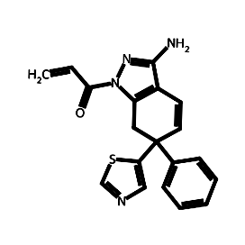 C=CC(=O)n1nc(N)c2c1CC(c1ccccc1)(c1cncs1)C=C2